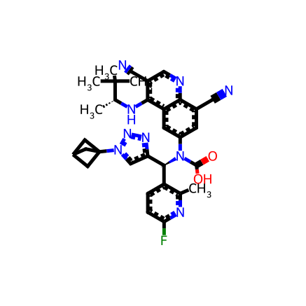 Cc1nc(F)ccc1[C@@H](c1cn(C23CC(C2)C3)nn1)N(C(=O)O)c1cc(C#N)c2ncc(C#N)c(N[C@H](C)C(C)(C)C)c2c1